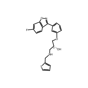 O[C@H](CNCc1cccs1)COc1cccc(-c2noc3cc(F)ccc23)c1